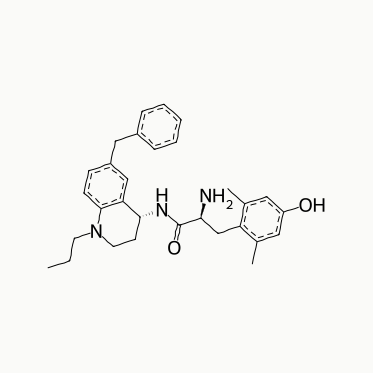 CCCN1CC[C@@H](NC(=O)[C@@H](N)Cc2c(C)cc(O)cc2C)c2cc(Cc3ccccc3)ccc21